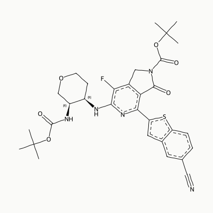 CC(C)(C)OC(=O)N[C@H]1COCC[C@H]1Nc1nc(-c2cc3cc(C#N)ccc3s2)c2c(c1F)CN(C(=O)OC(C)(C)C)C2=O